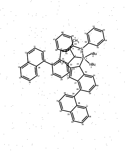 CCC[CH2][Zr]([CH2]CCC)([CH]1C(C)=Cc2c(-c3cccc4ccccc34)cccc21)([CH]1C(C)=Cc2c(-c3cccc4ccccc34)cccc21)[SiH](c1ccccc1)c1ccccc1